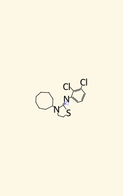 Clc1cccc(/N=C2\SCCN2C2CCCCCCC2)c1Cl